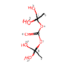 CC(O)(O)OC(=O)OC(C)(O)O